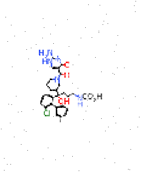 Cc1cccc(-c2c(Cl)cccc2C(O)(CCCNC(=O)O)C2CCCN(C(=O)c3c[nH]c(N)nc3=O)C2)c1